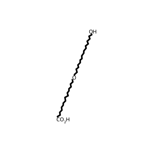 O=C(O)CCCCCCCCCCCCCCCCCOCCCCCCCCCCCCCCCCCCO